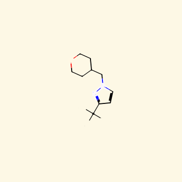 CC(C)(C)c1ccn(CC2CCOCC2)n1